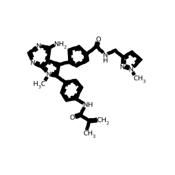 C=C(C)C(=O)Nc1ccc(-c2c(-c3ccc(C(=O)NCc4ccn(C)n4)cc3)c3c(N)ncnc3n2C)cc1